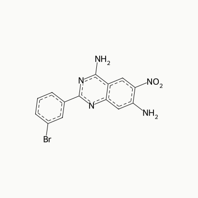 Nc1cc2nc(-c3cccc(Br)c3)nc(N)c2cc1[N+](=O)[O-]